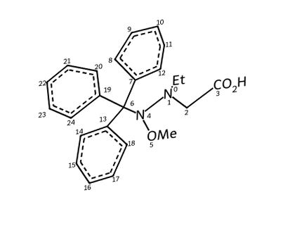 CCN(CC(=O)O)N(OC)C(c1ccccc1)(c1ccccc1)c1ccccc1